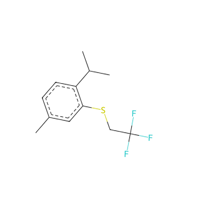 Cc1ccc(C(C)C)c(SCC(F)(F)F)c1